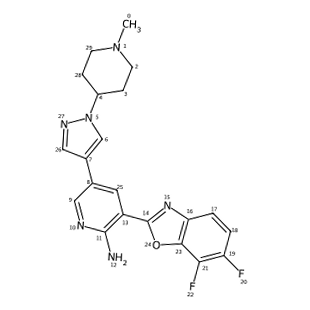 CN1CCC(n2cc(-c3cnc(N)c(-c4nc5ccc(F)c(F)c5o4)c3)cn2)CC1